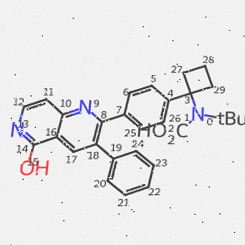 CC(C)(C)N(C(=O)O)C1(c2ccc(-c3nc4ccnc(O)c4cc3-c3ccccc3)cc2)CCC1